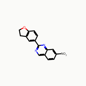 O=[N+]([O-])c1ccc2cnc(-c3ccc4c(c3)CCO4)nc2c1